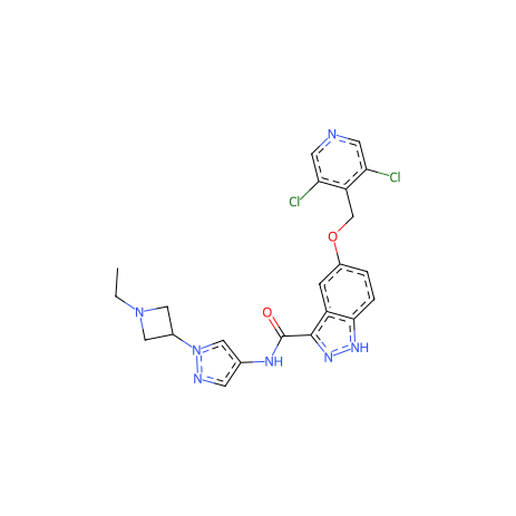 CCN1CC(n2cc(NC(=O)c3n[nH]c4ccc(OCc5c(Cl)cncc5Cl)cc34)cn2)C1